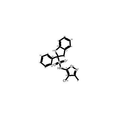 Cc1noc(NS(=O)(=O)C2(c3ccccc3)Cc3ccccc3S2)c1Cl